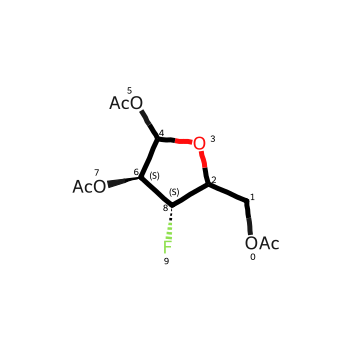 CC(=O)OCC1OC(OC(C)=O)[C@H](OC(C)=O)[C@H]1F